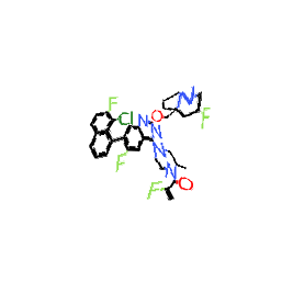 C=C(F)C(=O)N1CCN(c2nc(OC[C@@]34CCCN3C[C@H](F)C4)nc3cc(-c4cccc5ccc(F)c(Cl)c45)c(F)cc23)CC1C